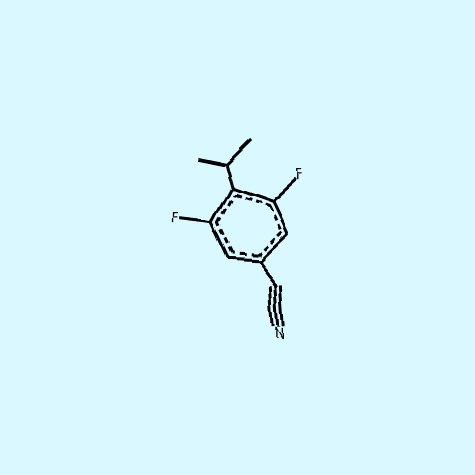 CC(C)c1c(F)cc(C#N)cc1F